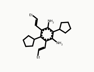 CCC=Cc1c(N)c(C2CCCC2)c(N)c(C=CCC)c1C1CCCC1